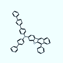 c1ccc(-c2ccc(-c3ccc(N(c4ccc(-c5ccccc5)cc4)c4ccc5c(c4)oc4c(-c6ccccc6)c6ccccc6cc45)cc3)cc2)cc1